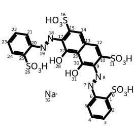 O=S(=O)(O)c1ccccc1N=Nc1c(S(=O)(=O)O)cc2cc(S(=O)(=O)O)c(N=Nc3ccccc3S(=O)(=O)O)c(O)c2c1O.[Na]